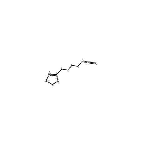 [N-]=[N+]=NCCCCC1=NCCO1